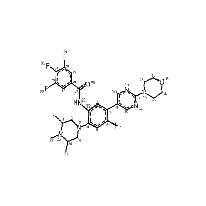 CC1CN(c2cc(F)c(-c3cnc(N4CCOCC4)nc3)cc2NC(=O)c2cc(F)c(F)c(F)c2)CC(C)N1C